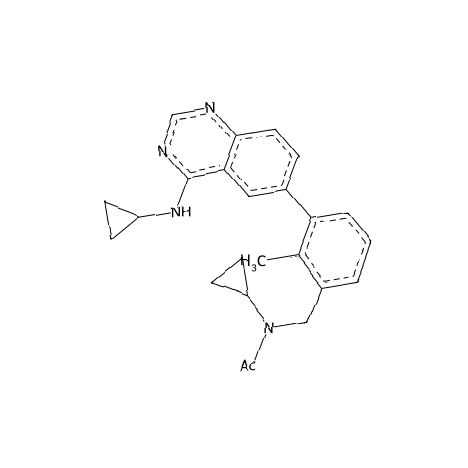 CC(=O)N(Cc1cccc(-c2ccc3ncnc(NC4CC4)c3c2)c1C)C1CC1